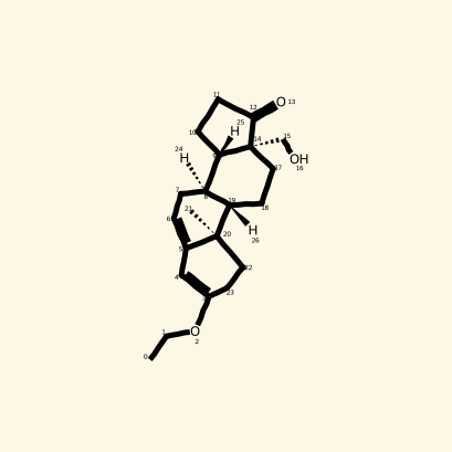 CCOC1=CC2=CC[C@H]3[C@@H]4CCC(=O)[C@@]4(CO)CC[C@@H]3[C@@]2(C)CC1